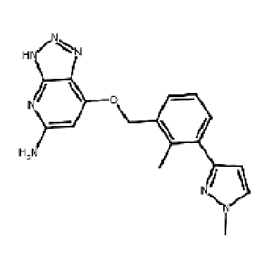 Cc1c(COc2cc(N)nc3[nH]nnc23)cccc1-c1ccn(C)n1